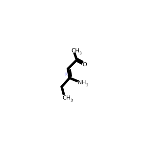 CC/C(N)=C/C(C)=O